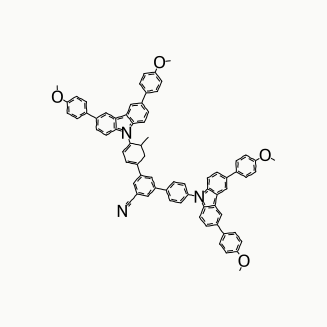 COc1ccc(-c2ccc3c(c2)c2cc(-c4ccc(OC)cc4)ccc2n3C2=CC=C(c3cc(C#N)cc(-c4ccc(-n5c6ccc(-c7ccc(OC)cc7)cc6c6cc(-c7ccc(OC)cc7)ccc65)cc4)c3)CC2C)cc1